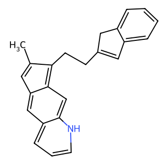 Cc1cc2cc3ccc[nH]c3cc2c1CCC1=Cc2ccccc2C1